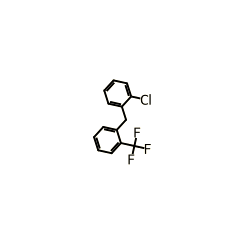 FC(F)(F)c1ccccc1Cc1ccccc1Cl